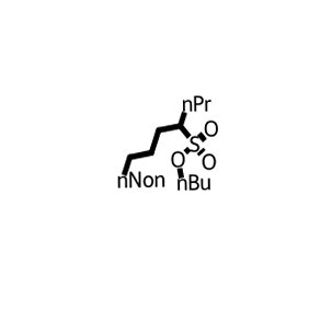 CCCCCCCCCCCCC(CCC)S(=O)(=O)OCCCC